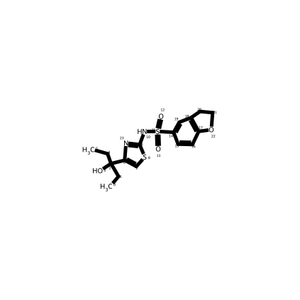 CCC(O)(CC)c1csc(NS(=O)(=O)c2ccc3c(c2)CCO3)n1